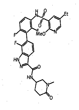 CCc1cnc(OC)c(S(=O)(=O)Nc2ccc(F)c(-c3ccc4c(C(=O)NC5CCC(=O)N(C)C5)n[nH]c4c3F)c2F)c1